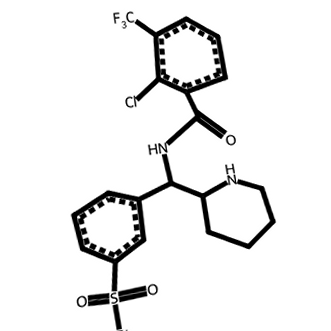 CCS(=O)(=O)c1cccc(C(NC(=O)c2cccc(C(F)(F)F)c2Cl)C2CCCCN2)c1